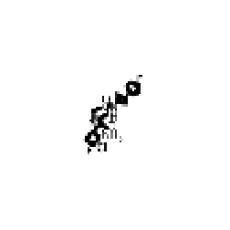 NC(=O)c1c(-c2ccc(F)c(Cl)c2)nn2c1CN(C(=O)N[C@H]1C[C@H](c3ccc(F)cc3)C1)CC2